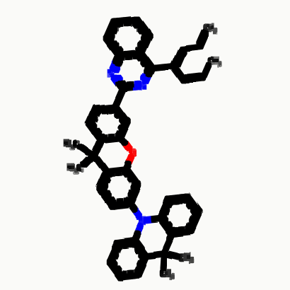 C=C/C=C(\C=C/C)c1nc(-c2ccc3c(c2)Oc2cc(N4c5ccccc5C(C)(C)c5ccccc54)ccc2C3(C)C)nc2ccccc12